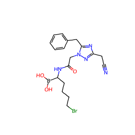 N#CCc1nc(Cc2ccccc2)n(CC(=O)NC(CCCCBr)B(O)O)n1